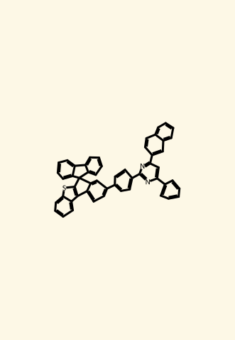 c1ccc(-c2cc(-c3ccc4ccccc4c3)nc(-c3ccc(-c4ccc5c(c4)C4(c6ccccc6-c6ccccc64)c4sc6ccccc6c4-5)cc3)n2)cc1